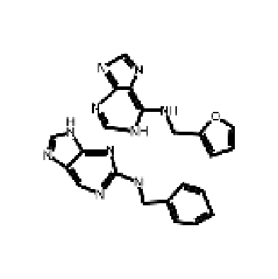 c1ccc(CNc2ncc3nc[nH]c3n2)cc1.c1coc(CNc2[nH]cnc3ncnc2-3)c1